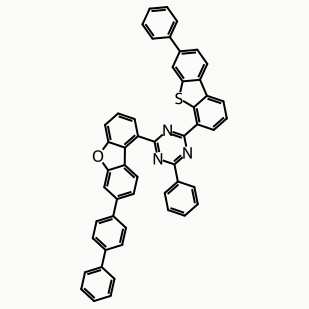 c1ccc(-c2ccc(-c3ccc4c(c3)oc3cccc(-c5nc(-c6ccccc6)nc(-c6cccc7c6sc6cc(-c8ccccc8)ccc67)n5)c34)cc2)cc1